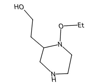 CCON1CCNCC1CCO